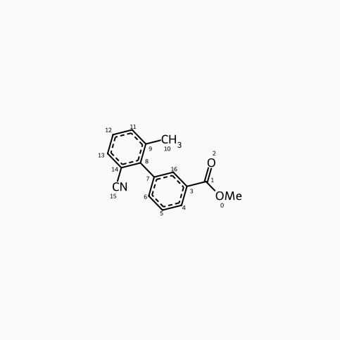 COC(=O)c1cccc(-c2c(C)cccc2C#N)c1